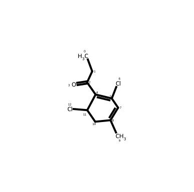 CCC(=O)C1=C(Cl)C=C(C)CC1Cl